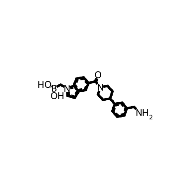 NCc1cccc(C2CCN(C(=O)c3ccc4c(ccn4CB(O)O)c3)CC2)c1